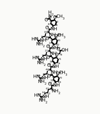 COc1ccc(NC(=O)[C@@H](CCCNC(=N)N)NC(=O)c2cc(NC(=O)[C@@H](CCCNC(=N)N)NC(=O)c3cc(NC(=O)[C@@H](CCCNC(=N)N)NC(=O)c4cc(NC(=O)[C@H](N)CCCNC(=N)N)ccc4OC)ccc3OCC(=O)O)ccc2OC)cc1C(N)=O